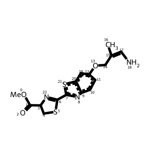 COC(=O)C1CSC(c2nc3ccc(OC/C(C)=C\N)cc3s2)=N1